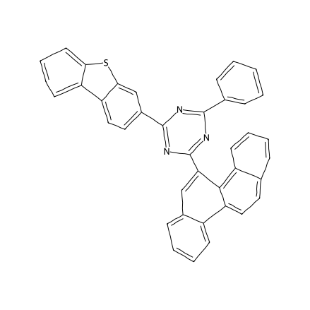 c1ccc(-c2nc(-c3ccc4c(c3)sc3ccccc34)nc(-c3cc4ccccc4c4ccc5ccccc5c34)n2)cc1